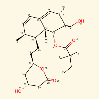 CCC(C)(C)C(=O)O[C@H]1[C@H](CO)[C@@H](C)C=C2C=C[C@H](C)[C@H](CC[C@@H]3C[C@@H](O)CC(=O)O3)[C@H]21